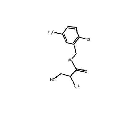 Cc1ccc(Cl)c(CNC(=O)C(C)CO)c1